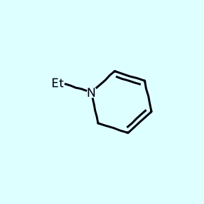 [CH2]CN1C=CC=CC1